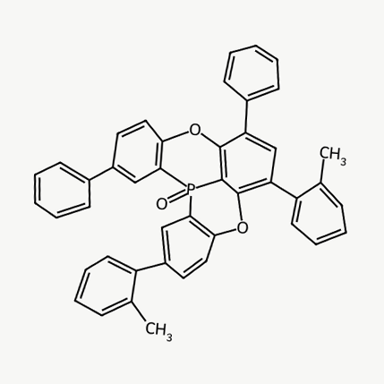 Cc1ccccc1-c1ccc2c(c1)P1(=O)c3cc(-c4ccccc4)ccc3Oc3c(-c4ccccc4)cc(-c4ccccc4C)c(c31)O2